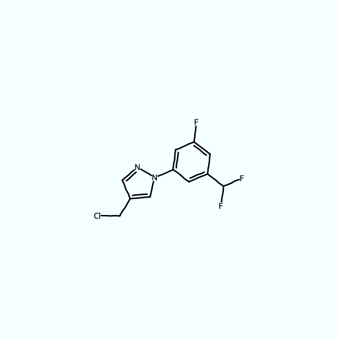 Fc1cc(C(F)F)cc(-n2cc(CCl)cn2)c1